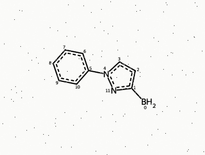 Bc1ccn(-c2ccccc2)n1